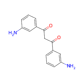 Nc1cccc(C(=O)CC(=O)c2cccc(N)c2)c1